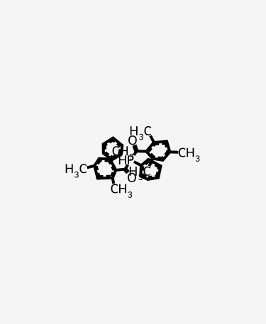 Cc1cc(C)c(C(=O)[PH](C(=O)c2c(C)cc(C)cc2C)(c2ccccc2)c2ccccc2)c(C)c1